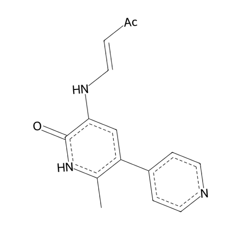 CC(=O)C=CNc1cc(-c2ccncc2)c(C)[nH]c1=O